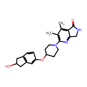 Cc1c(N2CCC(Oc3ccc4c(c3)CC(O)C4)CC2)nc2c(c1C)C(=O)NC2